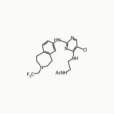 CC(=O)NCCNc1nc(Nc2ccc3c(c2)CCN(CC(F)(F)F)CC3)ncc1Cl